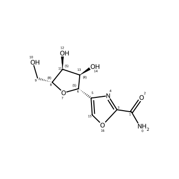 NC(=O)c1nc([C@@H]2O[C@H](CO)[C@@H](O)[C@H]2O)co1